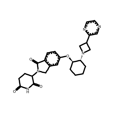 O=C1CCC(N2Cc3cc(O[C@@H]4CCCC[C@H]4N4CC(c5cnccn5)C4)ccc3C2=O)C(=O)N1